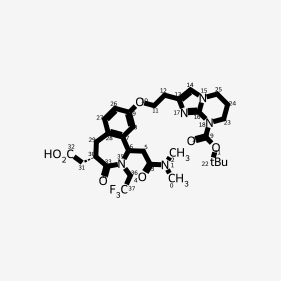 CN(C)C(=O)CC1c2cc(OCCc3cn4c(n3)N(C(=O)OC(C)(C)C)CCC4)ccc2C[C@@H](CC(=O)O)C(=O)N1CC(F)(F)F